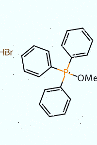 Br.CO[P](c1ccccc1)(c1ccccc1)c1ccccc1